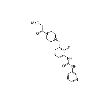 COCC(=O)N1CCN(Cc2cccc(NC(=O)Nc3ccc(C)nc3)c2F)CC1